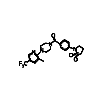 Cc1cc(C(F)(F)F)cnc1N1CCN(C(=O)c2ccc(N3CCCS3(=O)=O)cc2)CC1